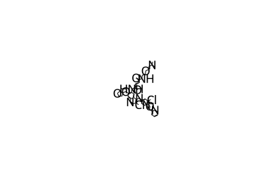 CN(C)CCOCCNC(=O)/C=C/C(=O)Nc1cc2c(Nc3ccc(OCc4ccccn4)c(Cl)c3)c(C#N)cnc2cc1OC1CCOC1